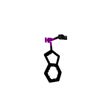 CC(C)(C)PC1=Cc2ccccc2C1